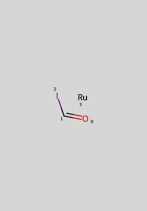 O=CI.[Ru]